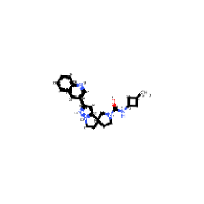 CC1CC(NC(=O)N2CCC3(CCn4nc(-c5cnc6ccccc6c5)cc43)C2)C1